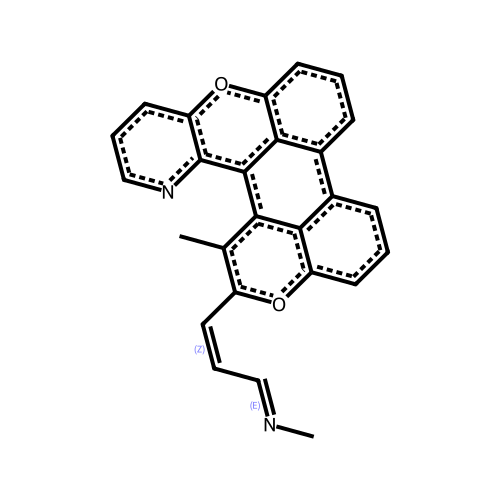 C/N=C/C=C\c1oc2cccc3c4cccc5oc6cccnc6c(c(c1C)c23)c54